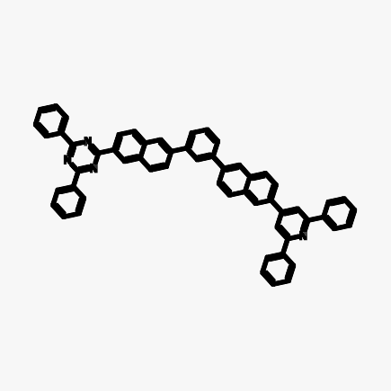 c1ccc(-c2cc(-c3ccc4cc(-c5cccc(-c6ccc7cc(-c8nc(-c9ccccc9)nc(-c9ccccc9)n8)ccc7c6)c5)ccc4c3)cc(-c3ccccc3)n2)cc1